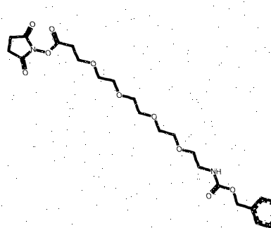 O=C(CCOCCOCCOCCOCCNC(=O)OCc1ccccc1)ON1C(=O)CCC1=O